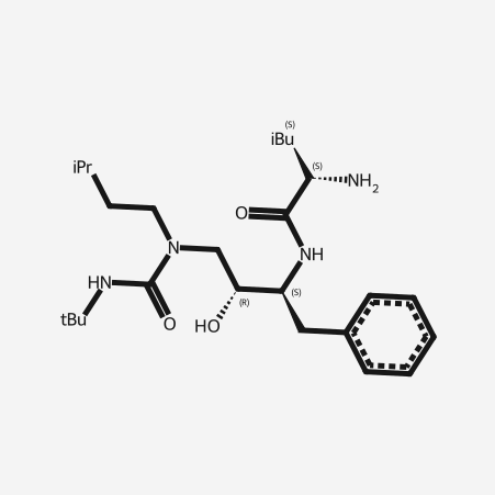 CC[C@H](C)[C@H](N)C(=O)N[C@@H](Cc1ccccc1)[C@H](O)CN(CCC(C)C)C(=O)NC(C)(C)C